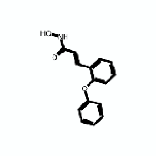 O=C(C=Cc1ccccc1Oc1ccccc1)NO